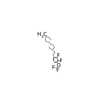 C[C@H]1CC[C@H]([C@H]2CC[C@H](CCc3ccc(OC(F)F)c(F)c3F)CC2)CC1